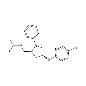 FC(F)OC[C@@H]1C[C@H](Oc2ccc(Cl)cn2)CN1c1ccccc1